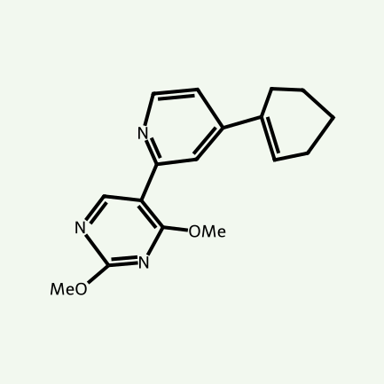 COc1ncc(-c2cc(C3=CCCCC3)ccn2)c(OC)n1